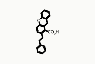 O=C(O)c1c(CCc2ccccc2)ccc2c1Cc1ccccc1O2